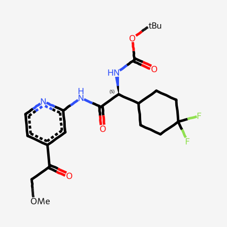 COCC(=O)c1ccnc(NC(=O)[C@@H](NC(=O)OC(C)(C)C)C2CCC(F)(F)CC2)c1